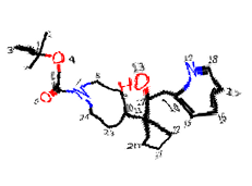 CC(C)(C)OC(=O)N1CCC(C2(C(O)c3ccccn3)CCC2)CC1